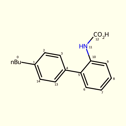 CCCCc1ccc(-c2ccccc2NC(=O)O)cc1